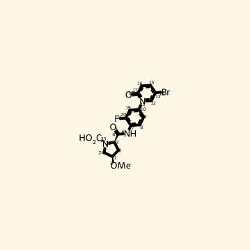 CO[C@@H]1C[C@H](C(=O)Nc2ccc(-n3cc(Br)ccc3=O)cc2F)N(C(=O)O)C1